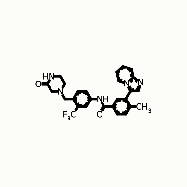 Cc1ccc(C(=O)Nc2ccc(CN3CCNC(=O)C3)c(C(F)(F)F)c2)cc1-c1cnc2ccccn12